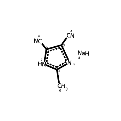 Cc1nc(C#N)c(C#N)[nH]1.[NaH]